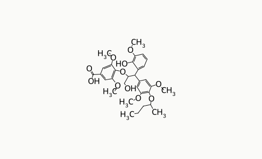 CCCC(C)Oc1c(OC)cc(C(c2cccc(OC)c2O)C(CO)Oc2c(OC)cc(C(=O)O)cc2OC)cc1OC